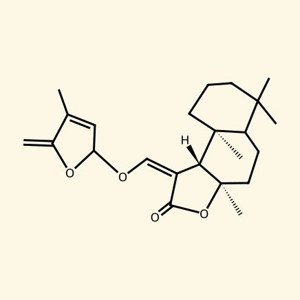 C=C1OC(O/C=C2\C(=O)O[C@]3(C)CCC4C(C)(C)CCC[C@]4(C)[C@@H]23)C=C1C